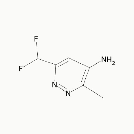 Cc1nnc(C(F)F)cc1N